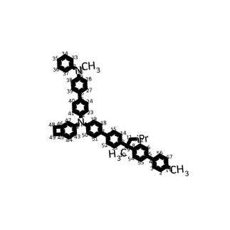 Cc1ccc(-c2ccc(C(C)(CC(C)C)c3ccc(-c4ccc(N(c5ccc(-c6ccc(N(C)c7ccccc7)cc6)cc5)c5ccc6c(c5)CC6)cc4)cc3)cc2)cc1